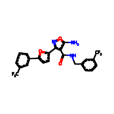 Nc1onc(-c2ccc(-c3cccc(C(F)(F)F)c3)o2)c1C(=O)NCc1cccc(C(F)(F)F)c1